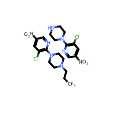 O=[N+]([O-])c1cnc(N2CCN(CCC(F)(F)F)CC2)c(Cl)c1.O=[N+]([O-])c1cnc(N2CCNCC2)c(Cl)c1